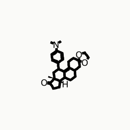 CN(C)c1ccc(C2C[C@@]3(C)C(=O)CC[C@H]3C3CCC4CC5(CCC4=C23)OCCO5)cc1